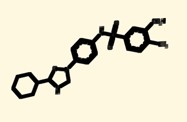 Cc1ccc(S(=O)(=O)Nc2ccc(N3CNC(C4CCCCC4)O3)cc2)cc1C(=O)O